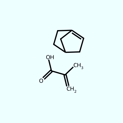 C1=C2CCC(C1)C2.C=C(C)C(=O)O